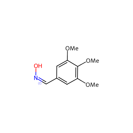 COc1cc(/C=N\O)cc(OC)c1OC